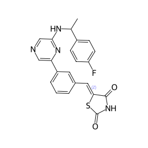 CC(Nc1cncc(-c2cccc(/C=C3\SC(=O)NC3=O)c2)n1)c1ccc(F)cc1